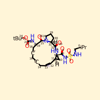 CC(C)CNS(=O)(=O)NC(=O)[C@@]12C[C@H]1/C=C\CCCCC[C@H](NC(=O)OC(C)(C)C)C(=O)N1CCC[C@H]1C(=O)N2